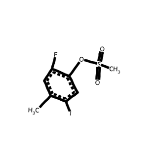 Cc1cc(F)c(OS(C)(=O)=O)cc1I